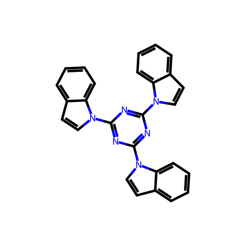 c1ccc2c(c1)ccn2-c1nc(-n2ccc3ccccc32)nc(-n2ccc3ccccc32)n1